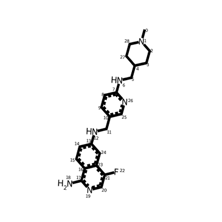 CN1CCC(CNc2ccc(CNc3ccc4c(N)ncc(F)c4c3)cn2)CC1